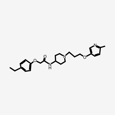 CCc1ccc(OCC(=O)NC2CCN(CCCOc3ccc(C)nc3)CC2)cc1